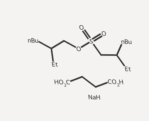 CCCCC(CC)COS(=O)(=O)CC(CC)CCCC.O=C(O)CCC(=O)O.[NaH]